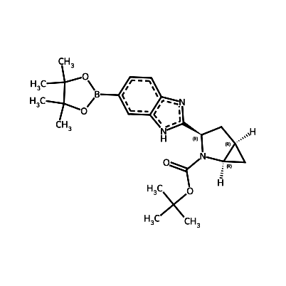 CC(C)(C)OC(=O)N1[C@@H](c2nc3ccc(B4OC(C)(C)C(C)(C)O4)cc3[nH]2)C[C@H]2C[C@H]21